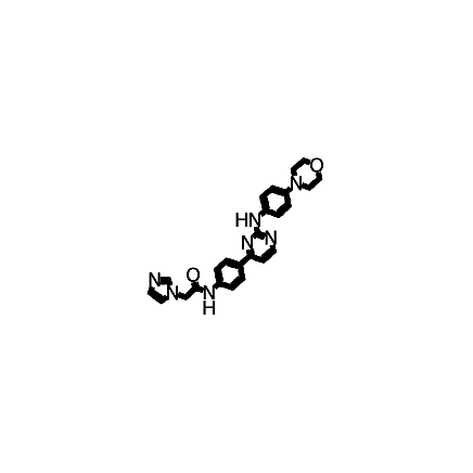 O=C(Cn1ccnc1)Nc1ccc(-c2ccnc(Nc3ccc(N4CCOCC4)cc3)n2)cc1